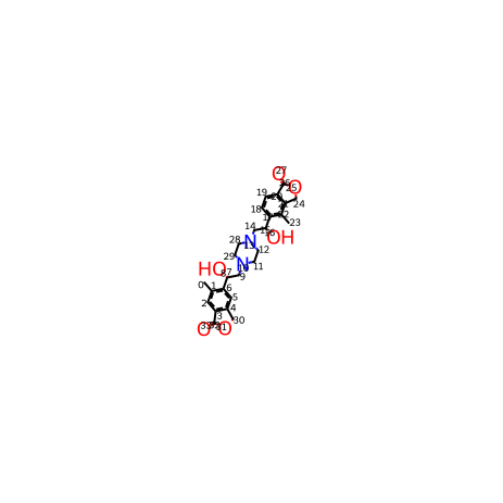 Cc1cc2c(cc1C(O)CN1CCN(C[C@@H](O)c3ccc4c(c3C)COC4=O)CC1)COC2=O